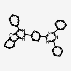 c1ccc(-c2nc(-c3ccccc3)nc(-c3ccc(-c4nc(-c5ccccc5)c5oc6ccccc6c5n4)cc3)n2)cc1